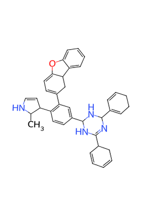 CC1NC=CC1c1ccc(C2NC(C3C=CC=CC3)=NC(C3=CCCC=C3)N2)cc1C1=CC=C2Oc3ccccc3C2C1